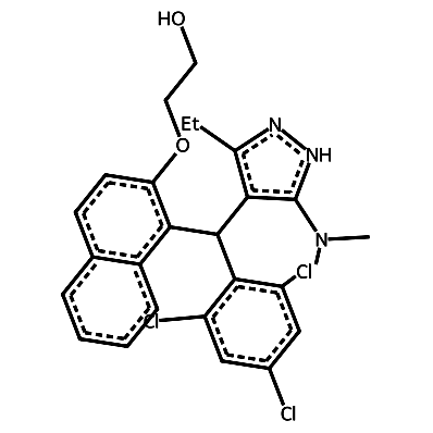 CCc1n[nH]c(N(C)C)c1C(c1c(Cl)cc(Cl)cc1Cl)c1c(OCCO)ccc2ccccc12